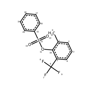 Cc1cccc(C(F)(F)F)c1OS(=O)(=O)c1ccccc1